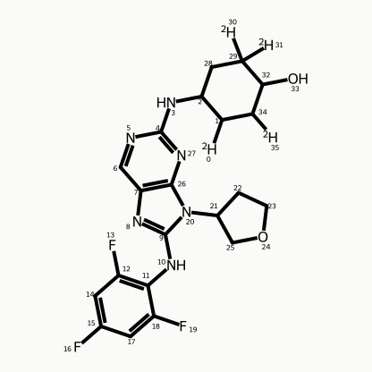 [2H]C1C(Nc2ncc3nc(Nc4c(F)cc(F)cc4F)n(C4CCOC4)c3n2)CC([2H])([2H])C(O)C1[2H]